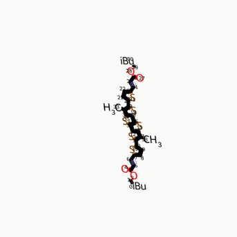 CCC(C)COC(=O)/C=C/c1ccc(-c2sc3c(sc4c5sc(-c6ccc(/C=C/C(=O)OCC(C)CC)s6)c(C)c5sc34)c2C)s1